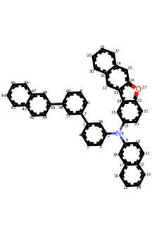 c1cc(-c2cccc(N(c3ccc4ccccc4c3)c3ccc4oc5cc6ccccc6cc5c4c3)c2)cc(-c2ccc3ccccc3c2)c1